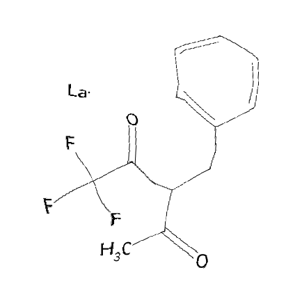 CC(=O)C(Cc1ccccc1)C(=O)C(F)(F)F.[La]